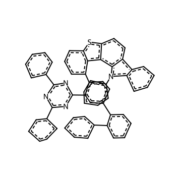 c1ccc(-c2nc(-c3ccccc3)nc(-c3cc(-c4ccccc4-c4ccccc4)ccc3-c3cccc4sc5ccc6c7ccccc7n(-c7ccccc7)c6c5c34)n2)cc1